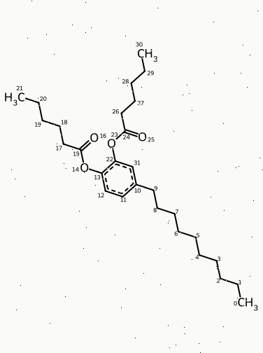 CCCCCCCCCCc1ccc(OC(=O)CCCCC)c(OC(=O)CCCCC)c1